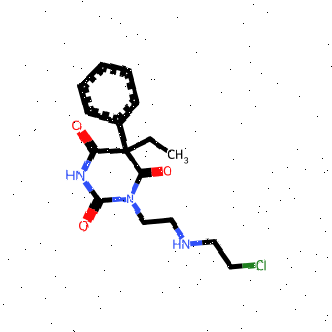 CCC1(c2ccccc2)C(=O)NC(=O)N(CCNCCCl)C1=O